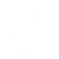 Cc1cn(C(=O)OC(C)(C)C)c2ncc(-c3cc4c(c(C5COCCN5C(=O)O)c3)C(C(C)(C)C)NCC4)cc12